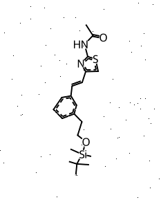 CC(=O)Nc1nc(C=Cc2cccc(CCO[Si](C)(C)C(C)(C)C)c2)cs1